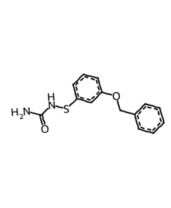 NC(=O)NSc1cccc(OCc2ccccc2)c1